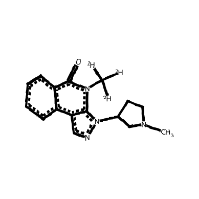 [2H]C([2H])([2H])n1c(=O)c2ccccc2c2cnn(C3CCN(C)C3)c21